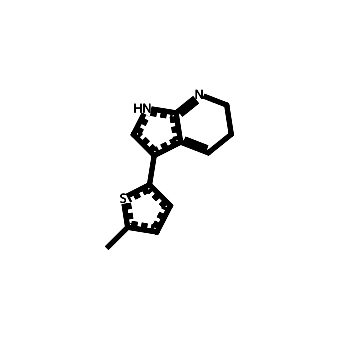 Cc1ccc(-c2c[nH]c3c2=CCCN=3)s1